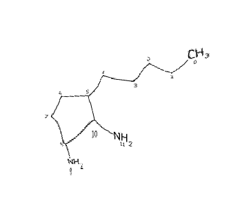 CCCCCC1CCC(N)C1N